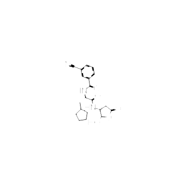 N#Cc1cccc(C(=O)N[C@@H](CC2CCCC2)C(=O)N[C@H]2CC(=O)OC2O)c1